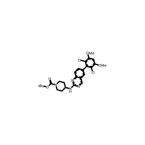 COc1cc(OC)c(Cl)c(-c2ccc3nc(NC4CCN(C(=O)OC(C)(C)C)CC4)ncc3c2)c1Cl